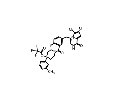 Cc1cccc([N+]2(OC(=O)C(F)(F)F)CCN(C(=O)c3cc(Cc4c[nH]c(=O)c5cc(Cl)c(Cl)n45)ccc3F)CC2)c1